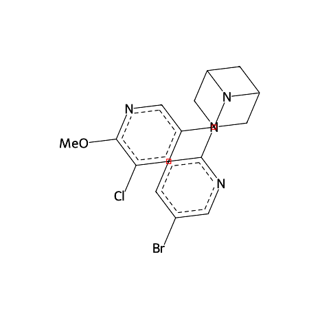 COc1ncc(CN2C3CC2CN(c2ccc(Br)cn2)C3)cc1Cl